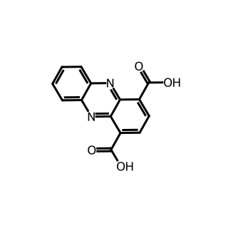 O=C(O)c1ccc(C(=O)O)c2nc3ccccc3nc12